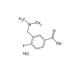 CN(C)Cc1cc(C(=O)O)ccc1F.Cl